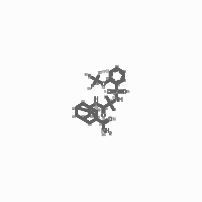 CC(C)(NS(=O)(=O)c1ccccc1OC(F)(F)F)C(=O)NC12CC3CC(C1)CC(C(N)=O)(C3)C2